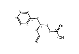 C=CC[C@H](CCC(=O)O)Cc1ccccc1